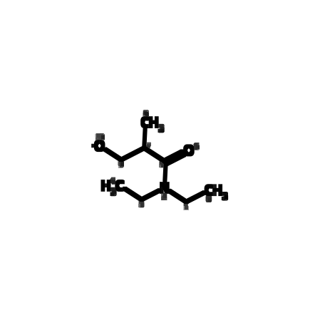 CCN(CC)C(=O)C(C)C[O]